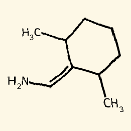 CC1CCCC(C)C1=CN